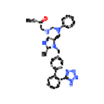 CCC1N=C2C(=CN(c3ccccc3)CN2CC(=O)OC)N1Cc1ccc(-c2ccccc2-c2nnn[nH]2)cc1